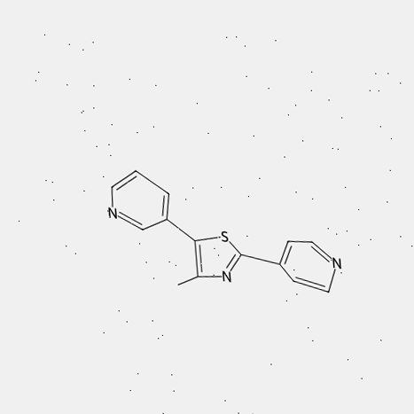 Cc1nc(-c2ccncc2)sc1-c1cccnc1